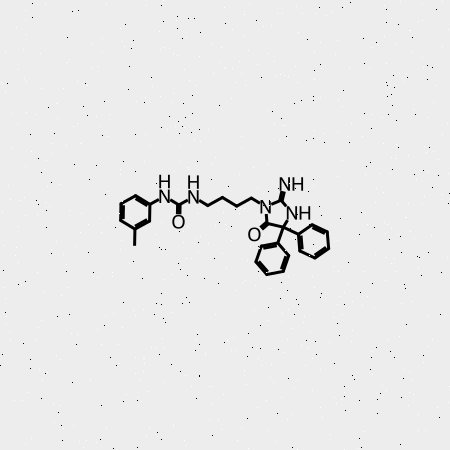 Cc1cccc(NC(=O)NCCCCN2C(=N)NC(c3ccccc3)(c3ccccc3)C2=O)c1